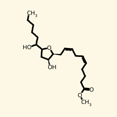 CCCCCC(O)C1C[C@H](O)[C@H](C/C=C\C/C=C\CCCC(=O)OC)O1